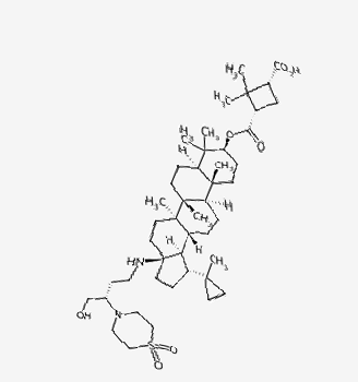 CC1([C@@H]2CC[C@]3(NCC[C@@H](CO)N4CCS(=O)(=O)CC4)CC[C@]4(C)[C@H](CC[C@@H]5[C@@]6(C)CC[C@H](OC(=O)[C@H]7C[C@@H](C(=O)O)C7(C)C)C(C)(C)[C@@H]6CC[C@]54C)[C@@H]23)CC1